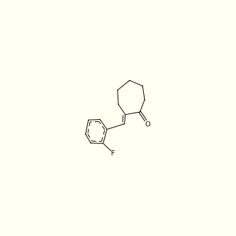 O=C1CCCCCC1=Cc1ccccc1F